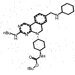 CCCCNc1ncc2c(n1)N([C@H]1CC[C@H](NC(=O)OC(C)(C)C)CC1)Cc1cc(CNC3CCCCC3)ccc1-2